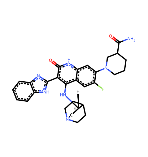 NC(=O)C1CCCN(c2cc3[nH]c(=O)c(-c4nc5ccccc5[nH]4)c(N[C@H]4CN5CCC4CC5)c3cc2F)C1